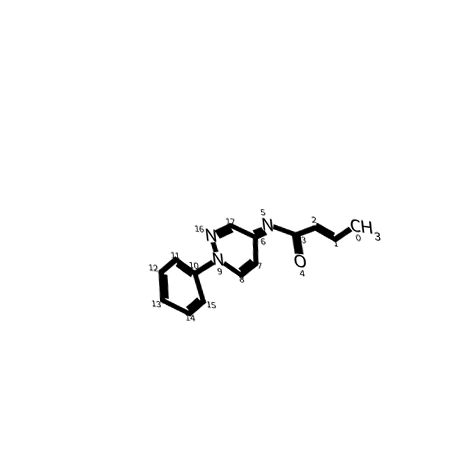 C/C=C/C(=O)/N=c1\ccn(-c2ccccc2)nc1